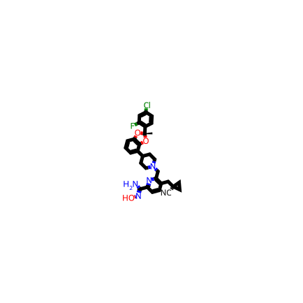 C[C@]1(c2ccc(Cl)cc2F)Oc2cccc(C3CCN(Cc4nc(C(N)=NO)ccc4CC4(C#N)CC4)CC3)c2O1